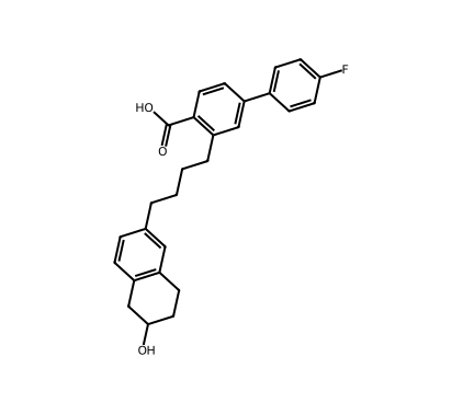 O=C(O)c1ccc(-c2ccc(F)cc2)cc1CCCCc1ccc2c(c1)CCC(O)C2